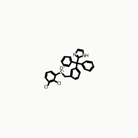 [O-][S+](Cc1cccc(C(c2ccccc2)(c2ccccc2)c2ncc[nH]2)c1)c1cccc(Cl)c1Cl